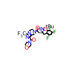 CC(C)(C)ON[C@@H](CC(=O)N1CCn2c(C(F)(F)F)nc(C(=O)N3CCOCC3)c2C1)Cc1cc(F)c(F)cc1F